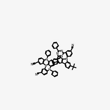 CC(C)(C)c1ccc2c3cc(-c4cc5c6c(c4)N(c4ccccc4)c4ccc(C#N)cc4B6c4cc(C#N)ccc4N5c4ccccc4)ccc3n(-c3ccc(C#N)cc3-c3nc(-c4ccccc4)nc(-c4ccccc4)n3)c2c1